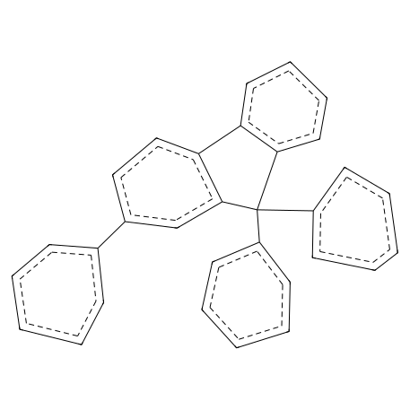 c1ccc(-c2ccc3c(c2)C(c2ccccc2)(c2ccccc2)c2ccccc2-3)cc1